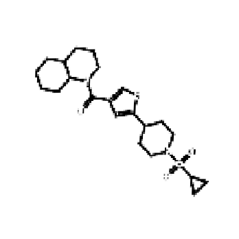 O=C(c1csc(C2CCN(S(=O)(=O)C3CC3)CC2)c1)N1CCCC2CCCCC21